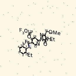 CCc1cccc(I)c1/C=C(\F)c1cnc(-n2nc(COC)n(CC)c2=O)cc1O[C@@H](C)C(F)(F)F